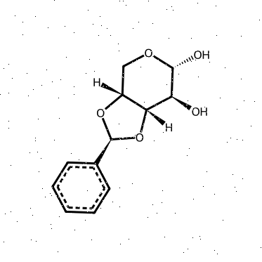 O[C@H]1[C@@H]2O[C@@H](c3ccccc3)O[C@@H]2CO[C@@H]1O